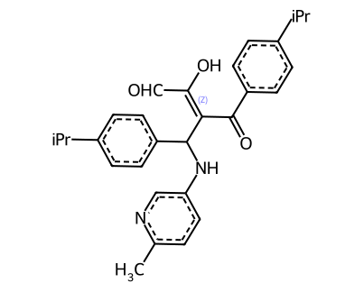 Cc1ccc(NC(/C(C(=O)c2ccc(C(C)C)cc2)=C(/O)C=O)c2ccc(C(C)C)cc2)cn1